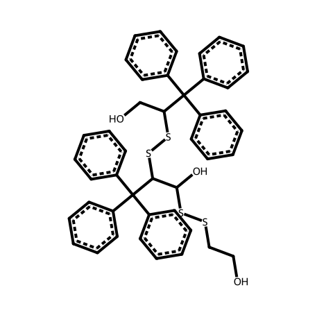 OCCSSC(O)C(SSC(CO)C(c1ccccc1)(c1ccccc1)c1ccccc1)C(c1ccccc1)(c1ccccc1)c1ccccc1